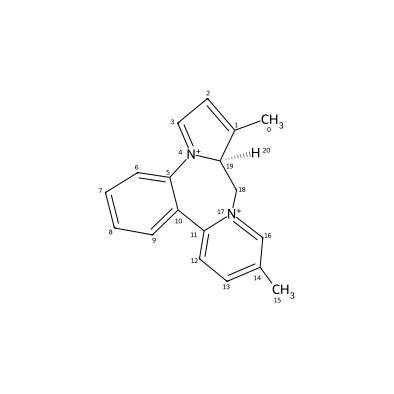 CC1=CC=[N+]2c3ccccc3-c3ccc(C)c[n+]3C[C@H]12